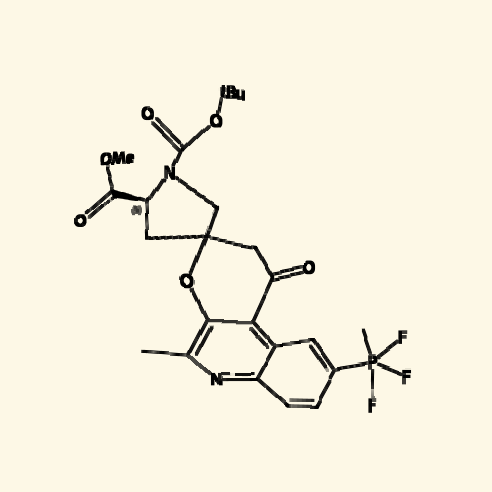 COC(=O)[C@@H]1CC2(CC(=O)c3c(c(C)nc4ccc(P(C)(F)(F)F)cc34)O2)CN1C(=O)OC(C)(C)C